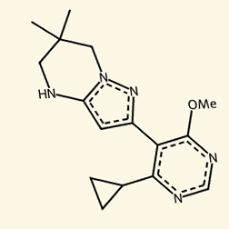 COc1ncnc(C2CC2)c1-c1cc2n(n1)CC(C)(C)CN2